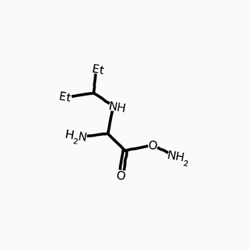 CCC(CC)NC(N)C(=O)ON